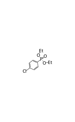 CCOP(=O)(OCC)c1ccc(Cl)cc1